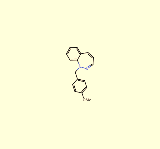 COc1ccc(CN2N=CC=Cc3ccccc32)cc1